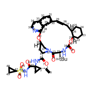 C=C[C@@H]1C[C@]1(NC(=O)[C@@H]1C[C@@H]2CN1C(=O)[C@H](C(C)(C)C)NC(=O)O[C@H]1CCCC[C@@H]1C/C=C/c1ccc3ccnc(c3c1)O2)C(=O)NS(=O)(=O)C1CC1